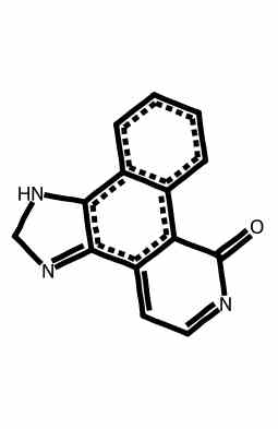 O=C1N=CC=c2c1c1ccccc1c1c2=NCN1